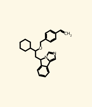 C=Cc1ccc(COC(CC2c3ccccc3-c3cncn32)C2CCCCC2)cc1